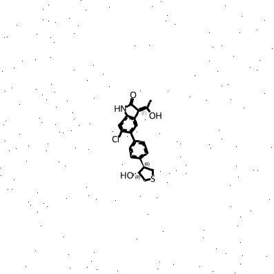 C/C(O)=C1\C(=O)Nc2cc(Cl)c(-c3ccc([C@H]4CSC[C@@H]4O)cc3)cc21